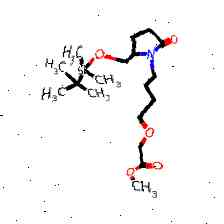 COC(=O)COCCCCN1C(=O)CCC1CO[Si](C)(C)C(C)(C)C